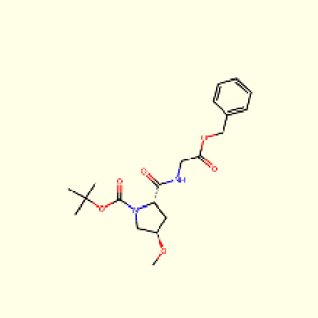 CO[C@@H]1C[C@@H](C(=O)NCC(=O)OCc2ccccc2)N(C(=O)OC(C)(C)C)C1